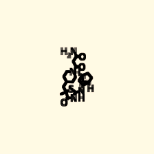 CC1(CC2CCN(C(=O)CC(N)=O)CC2)SC(N[C@H]2C[C@@H]3CC[C@H]2C3)=NC1=O